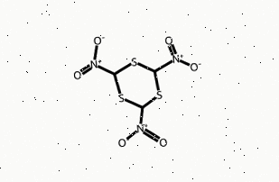 O=[N+]([O-])C1SC([N+](=O)[O-])SC([N+](=O)[O-])S1